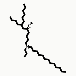 C=C=C(CCCCN(CCC)CCCCCCCCCCCCC)CC(CCCC)CCCCCC